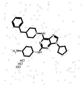 Cl.Cl.Cl.N[C@H]1CC[C@H](Nc2nc(NN3CCC(Cc4ccccc4)CC3)c3ncn(C4CCCC4)c3n2)CC1